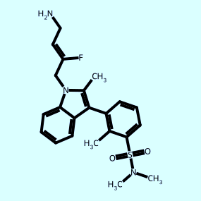 Cc1c(-c2c(C)n(CC(F)=CCN)c3ccccc23)cccc1S(=O)(=O)N(C)C